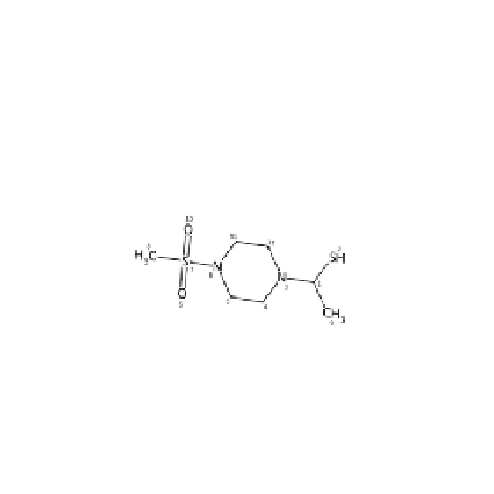 CC(S)N1CCN(S(C)(=O)=O)CC1